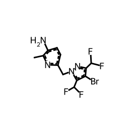 Cc1nc(Cn2nc(C(F)F)c(Br)c2C(F)F)ccc1N